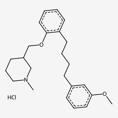 COc1cccc(CCCCc2ccccc2OCC2CCCN(C)C2)c1.Cl